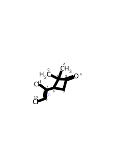 CC1(C)C(=O)CC1/C(Cl)=C/Cl